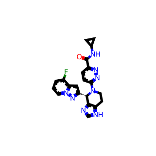 O=C(NC1CC1)c1ccc(N2CCc3[nH]cnc3[C@@H]2c2cc3c(F)cccn3n2)nn1